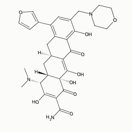 CN(C)[C@H]1C(O)=C(C(N)=O)C(=O)[C@]2(O)C(O)=C3C(=O)c4c(O)c(CN5CCOCC5)cc(-c5ccoc5)c4C[C@@H]3C[C@@H]12